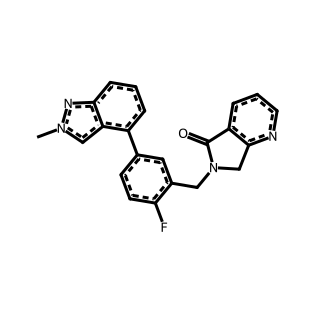 Cn1cc2c(-c3ccc(F)c(CN4Cc5ncccc5C4=O)c3)cccc2n1